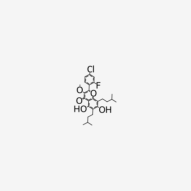 COc1c(-c2ccc(Cl)cc2F)oc2c(CCC(C)C)c(O)c(CCC(C)C)c(O)c2c1=O